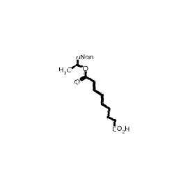 CCCCCCCCCC(C)OC(=O)CCCCCCCC(=O)O